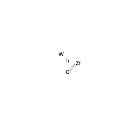 [O]=[Zr].[Ti].[W]